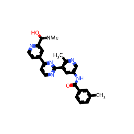 CNC(O)c1cc(-c2ccnc(-c3cc(NC(=O)c4cccc(C)c4)cnc3C)n2)ccn1